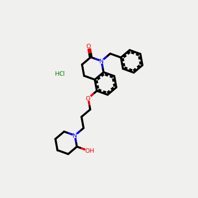 Cl.O=C1CCc2c(OCCCN3CCCCC3O)cccc2N1Cc1ccccc1